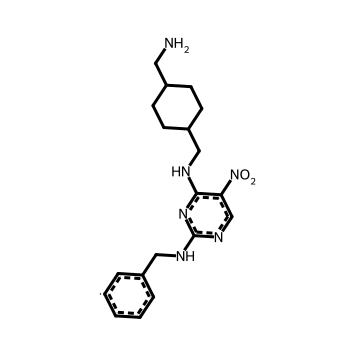 NCC1CCC(CNc2nc(NCc3c[c]ccc3)ncc2[N+](=O)[O-])CC1